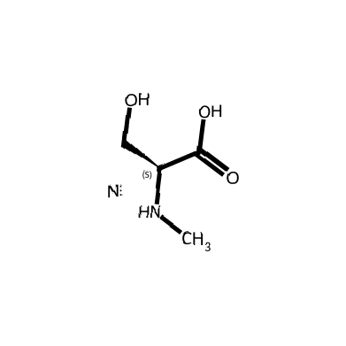 CN[C@@H](CO)C(=O)O.[N]